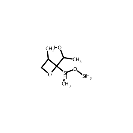 CC(O)C1([SiH](C)O[SiH3])OCC1C